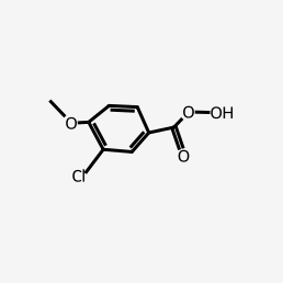 COc1ccc(C(=O)OO)cc1Cl